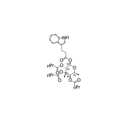 CCCC(=O)O[C@@H]1[C@@H](OC(=O)CCc2c[nH]c3ccccc23)O[C@@H](C)[C@@H](OC(=O)CCC)[C@]1(C)OC(=O)CCC